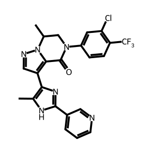 Cc1[nH]c(-c2cccnc2)nc1-c1cnn2c1C(=O)N(c1ccc(C(F)(F)F)c(Cl)c1)CC2C